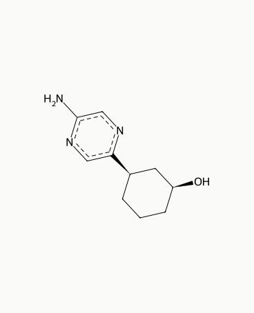 Nc1cnc([C@@H]2CCC[C@H](O)C2)cn1